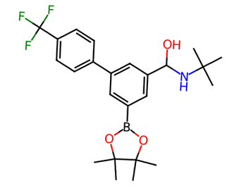 CC(C)(C)NC(O)c1cc(B2OC(C)(C)C(C)(C)O2)cc(-c2ccc(C(F)(F)F)cc2)c1